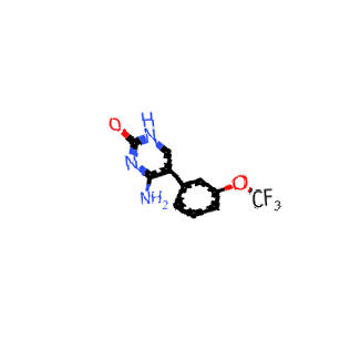 Nc1nc(=O)[nH]cc1-c1cccc(OC(F)(F)F)c1